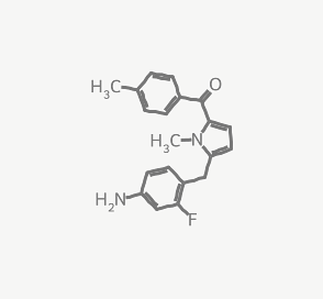 Cc1ccc(C(=O)c2ccc(Cc3ccc(N)cc3F)n2C)cc1